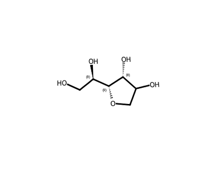 OC[C@@H](O)[C@H]1OC[C](O)[C@H]1O